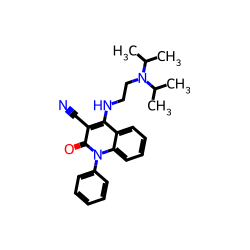 CC(C)N(CCNc1c(C#N)c(=O)n(-c2ccccc2)c2ccccc12)C(C)C